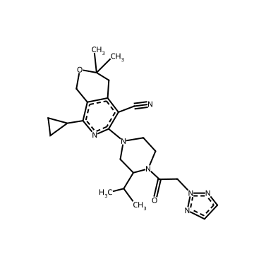 CC(C)C1CN(c2nc(C3CC3)c3c(c2C#N)CC(C)(C)OC3)CCN1C(=O)Cn1nccn1